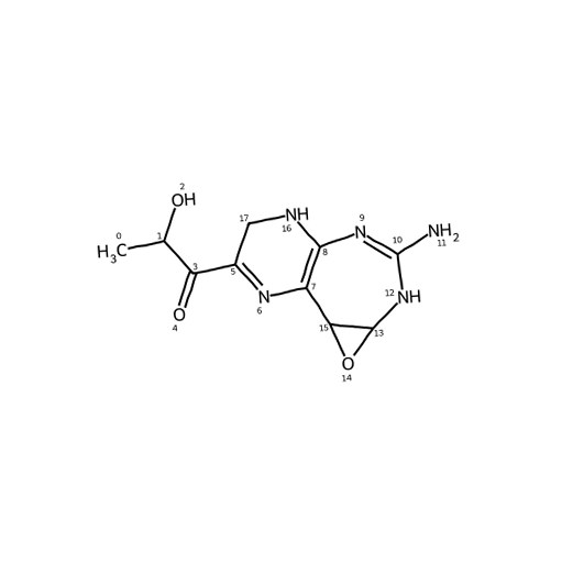 CC(O)C(=O)C1=NC2=C(N=C(N)NC3OC23)NC1